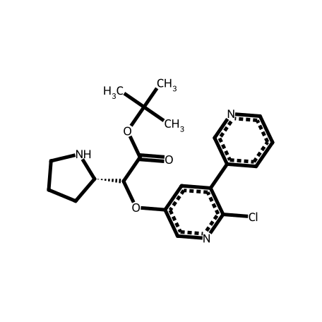 CC(C)(C)OC(=O)C(Oc1cnc(Cl)c(-c2cccnc2)c1)[C@@H]1CCCN1